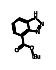 CC(C)(C)OC(=O)c1cccc2[nH]nnc12